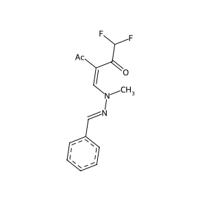 CC(=O)C(=CN(C)N=Cc1ccccc1)C(=O)C(F)F